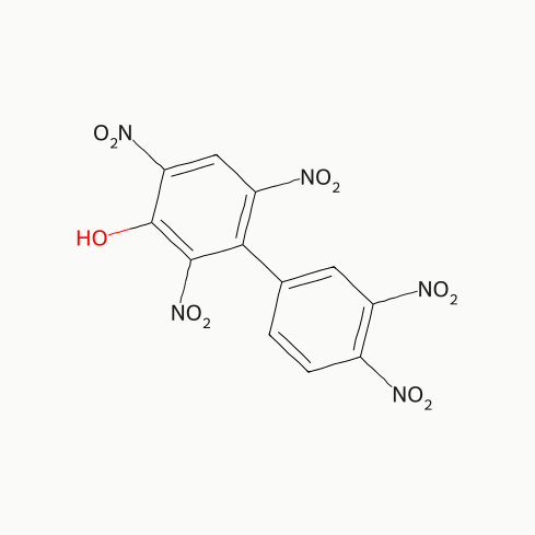 O=[N+]([O-])c1ccc(-c2c([N+](=O)[O-])cc([N+](=O)[O-])c(O)c2[N+](=O)[O-])cc1[N+](=O)[O-]